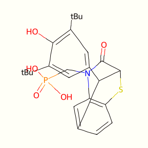 CC(C)(C)c1cc(C2c3ccc4c(c3)N(CP(=O)(O)O)C(=O)C2S4)cc(C(C)(C)C)c1O